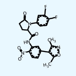 Cc1noc(C)c1-c1ccc([N+](=O)[O-])c(NC(=O)C2CCC(=O)N2c2ccc(F)c(F)c2)c1